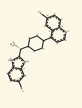 Fc1ccc2[nH]c([C@@H](C3CCC(c4ccnc5ccc(F)cc45)CC3)C(F)(F)F)nc2c1